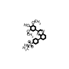 CNS(=O)(=O)c1ccc(-c2cccc3ncc(-c4cc(OC)c(O)c(OC)c4)nc23)cc1